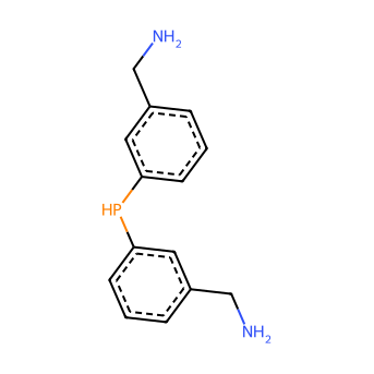 NCc1cccc(Pc2cccc(CN)c2)c1